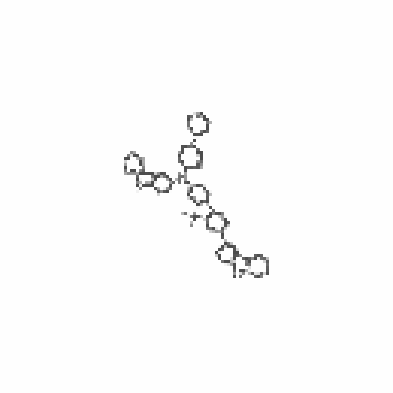 CC1(C)c2cc(-c3ccc4oc5ccccc5c4c3)ccc2-c2ccc(N(c3ccc(-c4ccccc4)cc3)c3ccc4sc5ccccc5c4c3)cc21